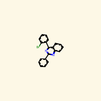 Brc1ccccc1-c1nc(-c2ccccc2)nc2ccccc12